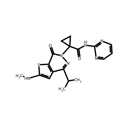 CNc1cc2c(C(C)C)nn(C3(C(=O)Nc4ncccn4)CC3)c(=O)c2s1